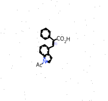 CC(=O)n1ccc2c(/C=C(/C(=O)O)c3ccccc3)cccc21